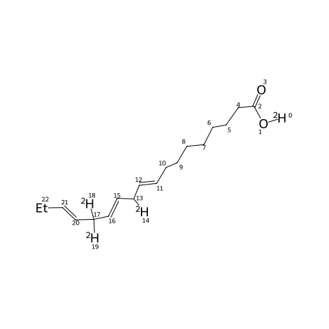 [2H]OC(=O)CCCCCCCC=CC([2H])C=CC([2H])([2H])C=CCC